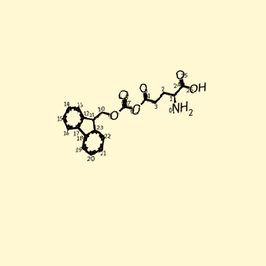 N[C@@H](CCC(=O)OC(=O)OCC1c2ccccc2-c2ccccc21)C(=O)O